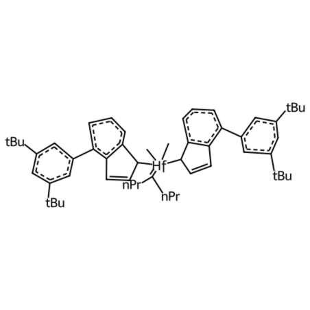 CCC[C](CCC)=[Hf]([CH3])([CH3])([CH]1C=Cc2c(-c3cc(C(C)(C)C)cc(C(C)(C)C)c3)cccc21)[CH]1C=Cc2c(-c3cc(C(C)(C)C)cc(C(C)(C)C)c3)cccc21